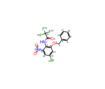 O=C(Nc1c(OCc2ccccc2)cc(Br)cc1[N+](=O)[O-])C(F)(F)F